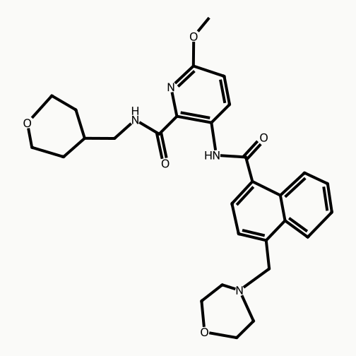 COc1ccc(NC(=O)c2ccc(CN3CCOCC3)c3ccccc23)c(C(=O)NCC2CCOCC2)n1